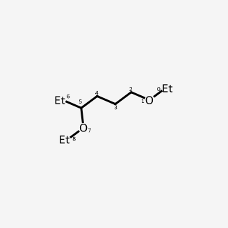 CCOCCCC(CC)OCC